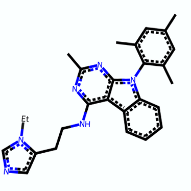 CCn1cncc1CCNc1nc(C)nc2c1c1ccccc1n2-c1c(C)cc(C)cc1C